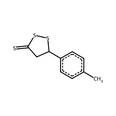 Cc1ccc(C2CC(=S)SS2)cc1